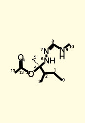 CCC(C)[C@](C)(N/N=C\NC)OC(C)=O